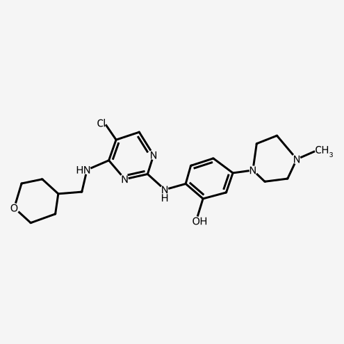 CN1CCN(c2ccc(Nc3ncc(Cl)c(NCC4CCOCC4)n3)c(O)c2)CC1